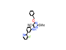 CSc1nc(Nc2cccc(-c3ncccc3F)c2)c(C#N)c(OCc2ccccc2)n1